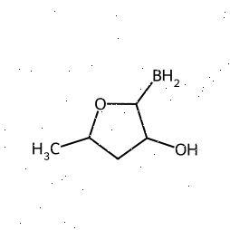 BC1OC(C)CC1O